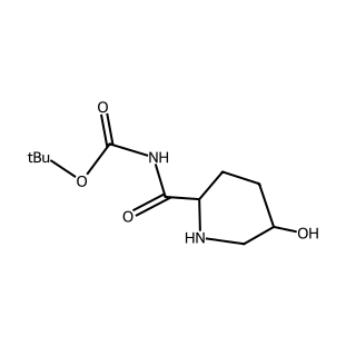 CC(C)(C)OC(=O)NC(=O)C1CCC(O)CN1